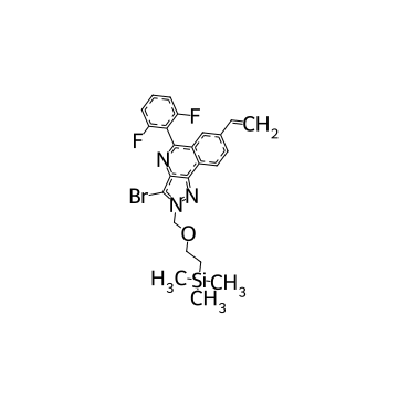 C=Cc1ccc2c(c1)c(-c1c(F)cccc1F)nc1c(Br)n(COCC[Si](C)(C)C)nc12